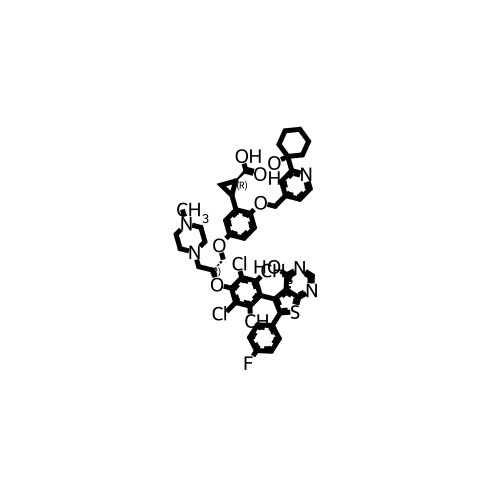 Cc1c(Cl)c(O[C@@H](COc2ccc(OCc3ccnc(C4(O)CCCCC4)c3)c(C3C[C@H]3C(=O)O)c2)CN2CCN(C)CC2)c(Cl)c(C)c1-c1c(-c2ccc(F)cc2)sc2ncnc(O)c12